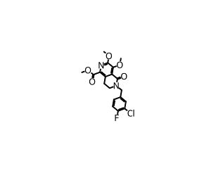 COC(=O)c1nc(OC)c(OC)c2c1CCN(Cc1ccc(F)c(Cl)c1)C2=O